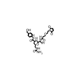 CC(C)C(NC(=O)CCOCCN1C(=O)C=CC1=O)C(=O)NC(CCCNC(N)=O)C(=O)Nc1ccc(CO)cc1